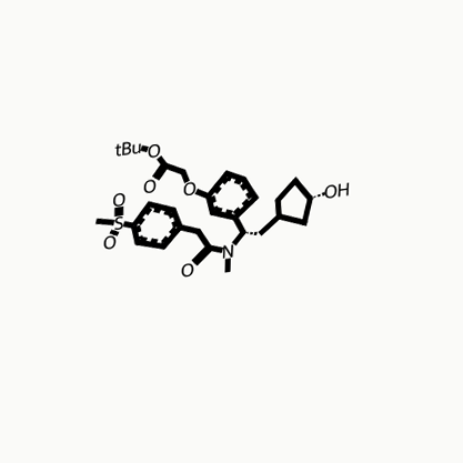 CN(C(=O)Cc1ccc(S(C)(=O)=O)cc1)[C@@H](CC1CC[C@H](O)C1)c1cccc(OCC(=O)OC(C)(C)C)c1